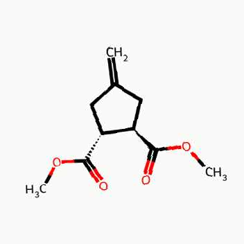 C=C1C[C@@H](C(=O)OC)[C@H](C(=O)OC)C1